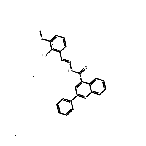 COc1cccc(/C=N/NC(=O)c2cc(-c3ccccc3)nc3ccccc23)c1O